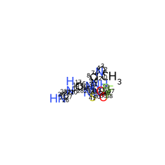 CC1CCCN1c1cccc(Nc2nc(-c3cccc(CNC4CCNCC4)c3)nc3c2N(OC(=O)C(F)(F)F)CS3)c1